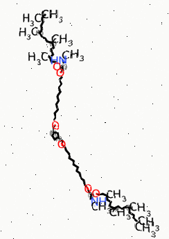 CNC[C@H](COCCCCCCCCCCCCOC[C@@H]1CC[C@H](COCCCCCCCCCCCCOC[C@H](CNC)OCCC(C)CCC[C@H](C)CCC[C@H](C)CCCC(C)C)C1)OCCC(C)CCC[C@H](C)CCC[C@H](C)CCCC(C)C